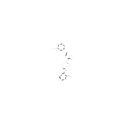 O=C(C=Cc1cccc(Cl)c1)N1CCN(c2ncccc2Cl)CC1